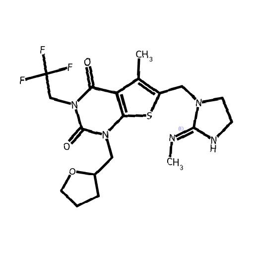 C/N=C1\NCCN1Cc1sc2c(c1C)c(=O)n(CC(F)(F)F)c(=O)n2CC1CCCO1